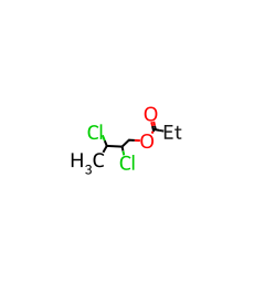 CCC(=O)OCC(Cl)C(C)Cl